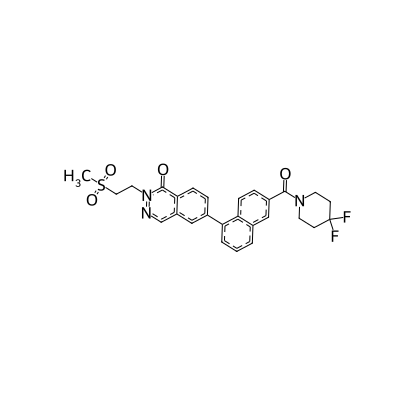 CS(=O)(=O)CCn1ncc2cc(-c3cccc4cc(C(=O)N5CCC(F)(F)CC5)ccc34)ccc2c1=O